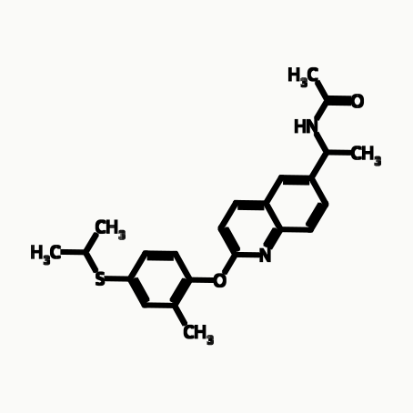 CC(=O)NC(C)c1ccc2nc(Oc3ccc(SC(C)C)cc3C)ccc2c1